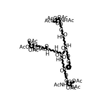 CC(=O)NC1C(OCCOCCC(=O)NCCCCNC(=O)CN(CCOCCOCc2ccccc2)CCN(CC(=O)NCCCCNC(=O)CCOCCOC2OC(COC(C)=O)C(OC(C)=O)C(OC(C)=O)C2NC(C)=O)CC(=O)NCCCCNC(=O)CCOCCOC2OC(COC(C)=O)C(OC(C)=O)C(OC(C)=O)C2NC(C)=O)OC(COC(C)=O)C(OC(C)=O)C1OC(C)=O